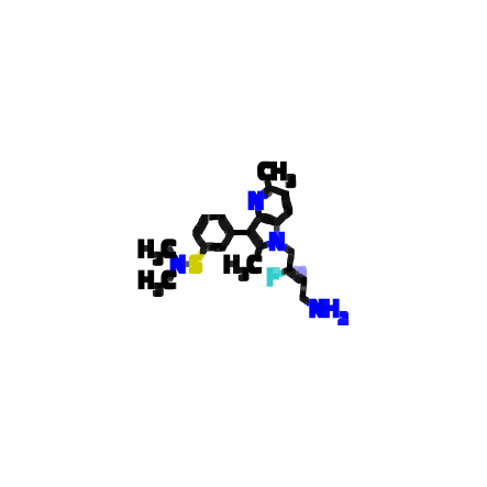 Cc1ccc2c(n1)c(-c1cccc(SN(C)C)c1)c(C)n2C/C(F)=C/CN